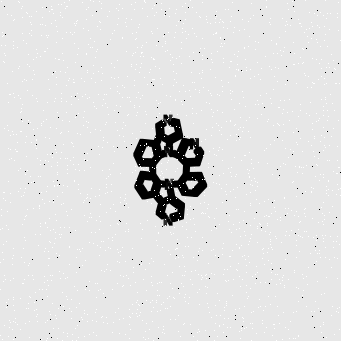 c1ccc2c(c1)c1ccncc1n1c3ccncc3c3cccc(c4cccc5c6cnccc6n2c54)c31